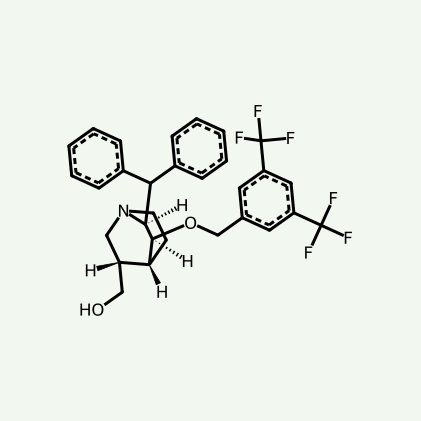 OC[C@@H]1CN2CC[C@H]1[C@H](OCc1cc(C(F)(F)F)cc(C(F)(F)F)c1)[C@@H]2C(c1ccccc1)c1ccccc1